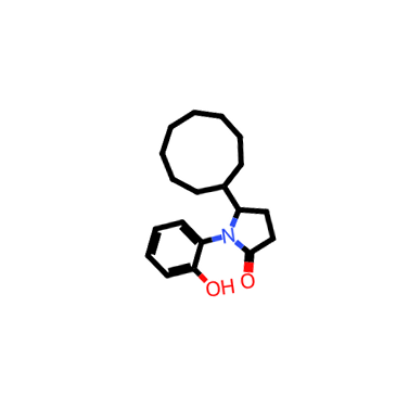 O=C1CCC(C2CCCCCCCC2)N1c1ccccc1O